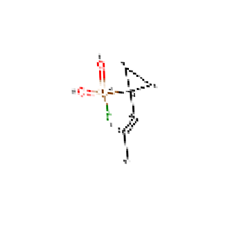 CC=CC1(S(=O)(=O)Cl)CC1